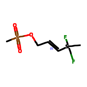 C[Si](F)(F)/C=C/COS(C)(=O)=O